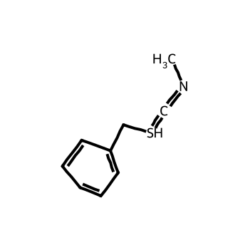 CN=C=[SH]Cc1ccccc1